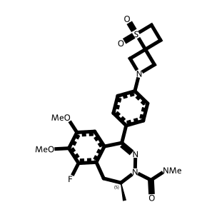 CNC(=O)N1N=C(c2ccc(N3CC4(CCS4(=O)=O)C3)cc2)c2cc(OC)c(OC)c(F)c2C[C@@H]1C